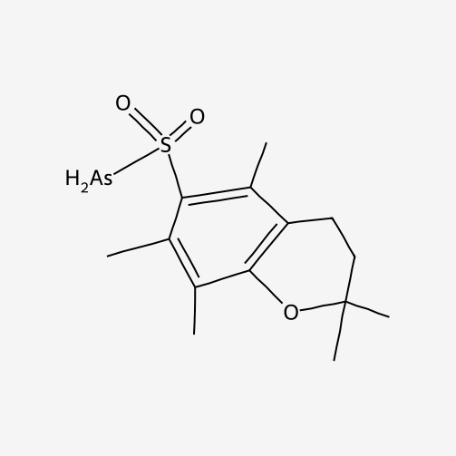 Cc1c(C)c(S(=O)(=O)[AsH2])c(C)c2c1OC(C)(C)CC2